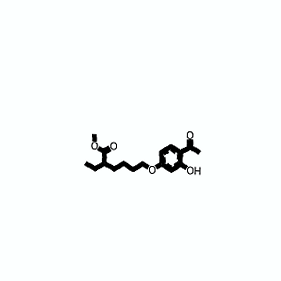 CCC(CCCCOc1ccc(C(C)=O)c(O)c1)C(=O)OC